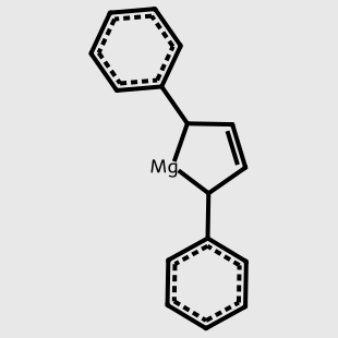 C1=C[CH](c2ccccc2)[Mg][CH]1c1ccccc1